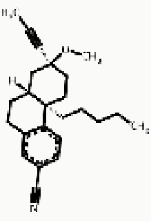 CC#C[C@]1(OC)CC[C@@]2(CCCCC)c3ccc(C#N)cc3CC[C@@H]2C1